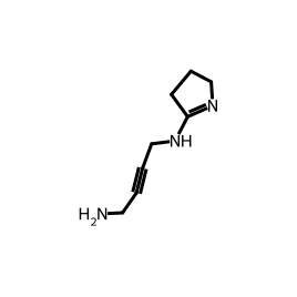 NCC#CCNC1=NCCC1